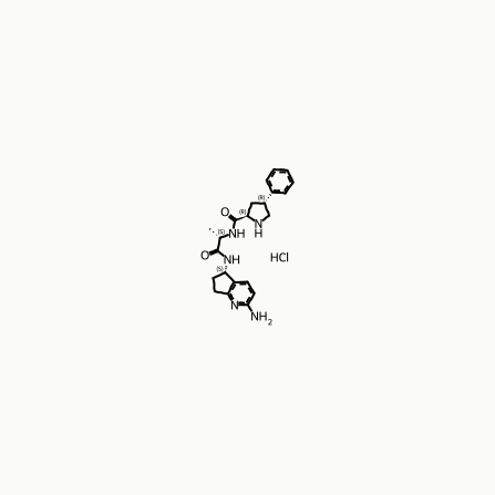 C[C@H](NC(=O)[C@H]1C[C@H](c2ccccc2)CN1)C(=O)N[C@H]1CCc2nc(N)ccc21.Cl